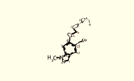 COCOc1cc2c(cnn2C)cc1Br